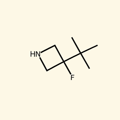 CC(C)(C)C1(F)CNC1